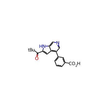 CC(C)(C)C(=O)c1cc2c(-c3cccc(C(=O)O)c3)cncc2[nH]1